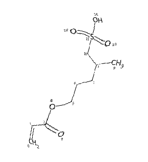 C=CC(=O)OCCCC(C)CS(=O)(=O)O